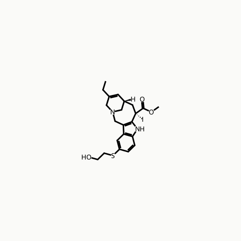 CCC1=C[C@H]2CN(C1)Cc1c([nH]c3ccc(SCCO)cc13)[C@](I)(C(=O)OC)C2